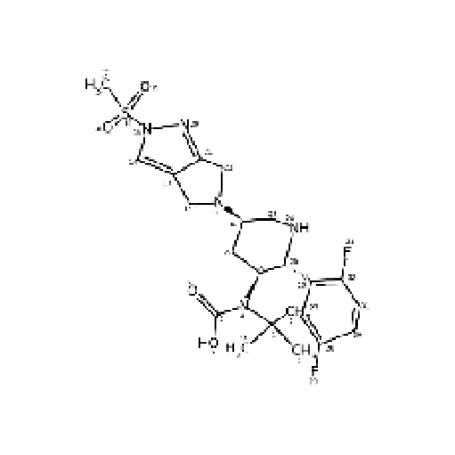 CC(C)(C)N(C(=O)O)[C@H]1C[C@@H](N2Cc3cn(S(C)(=O)=O)nc3C2)CN[C@@H]1c1cc(F)ccc1F